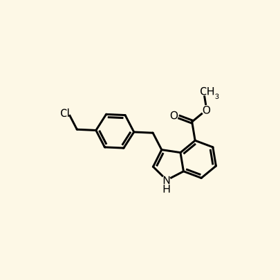 COC(=O)c1cccc2[nH]cc(Cc3ccc(CCl)cc3)c12